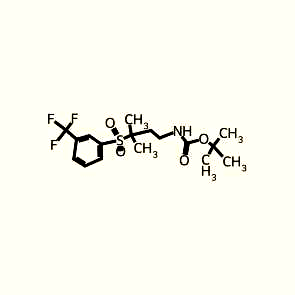 CC(C)(C)OC(=O)NCCC(C)(C)S(=O)(=O)c1cccc(C(F)(F)F)c1